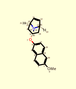 COc1ccc2cc(O[C@@H]3C[C@H]4C=C[C@@H](C3)N4C)ccc2c1